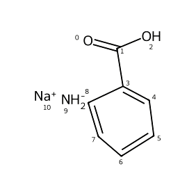 O=C(O)c1ccccc1.[NH2-].[Na+]